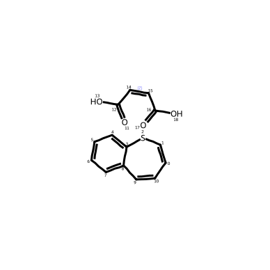 C1=CSc2ccccc2C=C1.O=C(O)/C=C\C(=O)O